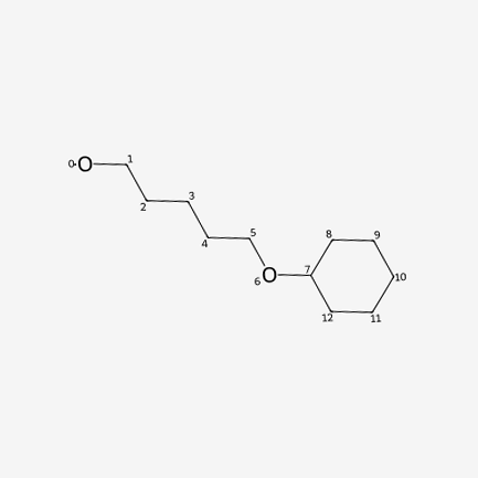 [O]CCCCCOC1CCCCC1